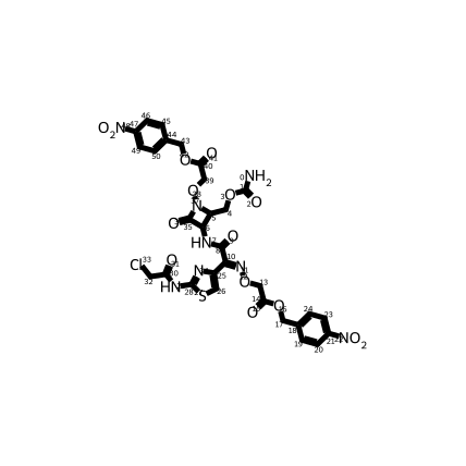 NC(=O)OCC1C(NC(=O)C(=NOCC(=O)OCc2ccc([N+](=O)[O-])cc2)c2csc(NC(=O)CCl)n2)C(=O)N1OCC(=O)OCc1ccc([N+](=O)[O-])cc1